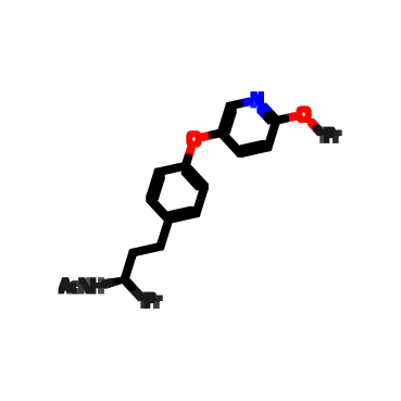 CC(=O)N[C@@H](CCc1ccc(Oc2ccc(OC(C)C)nc2)cc1)C(C)C